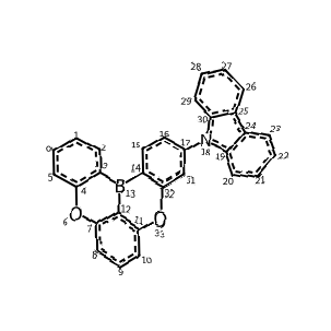 c1ccc2c(c1)Oc1cccc3c1B2c1ccc(-n2c4ccccc4c4ccccc42)cc1O3